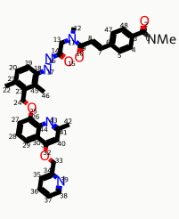 CNC(=O)c1ccc(/C=C/C(=O)N(C)CC(=O)/N=N/c2ccc(C)c(COc3cccc4c(OCc5ccccn5)cc(C)nc34)c2C)cc1